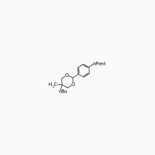 CCCCCc1ccc(C2OCC(C)(CCCC)CO2)cc1